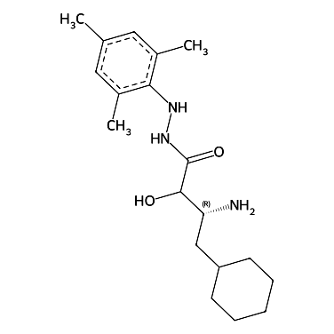 Cc1cc(C)c(NNC(=O)C(O)[C@H](N)CC2CCCCC2)c(C)c1